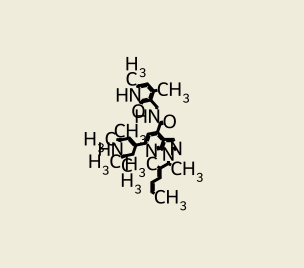 C/C=C\C=C(/C)C(C)n1ncc2c(C(=O)NCc3c(C)cc(C)[nH]c3=O)cc(C3=CC(C)(C)NC(C)(C)C3)nc21